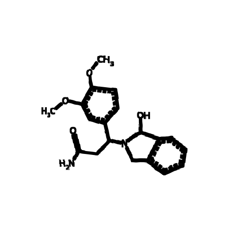 COc1ccc(C(CC(N)=O)N2Cc3ccccc3C2O)cc1OC